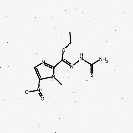 CCOC(=NNC(N)=S)c1ncc([N+](=O)[O-])n1C